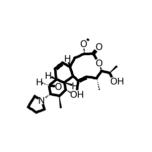 CO[C@H]1C[C@H]2C=C[C@H]3[C@H]4O[C@]2(/C(C)=C/[C@@H](C)[C@@H]([C@@H](C)O)OC1=O)[C@@H]3[C@H](O)[C@@H](C)[C@@H]4N1CCCC1